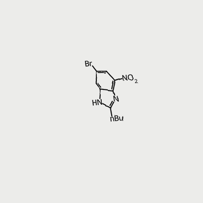 CCCCc1nc2c([N+](=O)[O-])cc(Br)cc2[nH]1